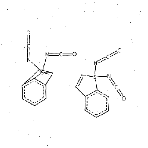 O=C=NS1(N=C=O)C2=Cc3cccc2c31.O=C=NS1(N=C=O)C=Cc2ccccc21